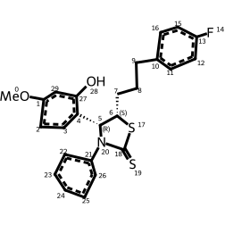 COc1ccc([C@@H]2[C@H](CCCc3ccc(F)cc3)SC(=S)N2c2ccccc2)c(O)c1